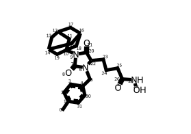 Cc1ccc(CN2C(=O)N(C34CC5CC(CC(C5)C3)C4)C(=O)C2CCCC(=O)NO)cc1